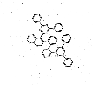 C1=C(c2ccccc2)N=C(c2ccccc2-c2ccccc2-c2ccc3ccccc3c2-c2nc(-c3ccccc3)nc(-c3ccccc3)n2)NC1c1ccccc1